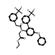 CCOC(=O)CN(C(=O)Cc1cccc(C(F)(F)F)c1)c1ccc(Oc2ccccc2)cc1-c1cccc(C(F)(F)F)c1